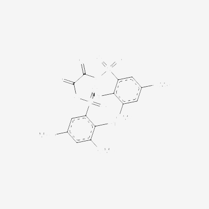 COc1cc(OC)c(C(C)C)c(S(=O)(=O)OC(=O)C(=O)OS(=O)(=O)c2cc(OC)cc(OC)c2C(C)C)c1